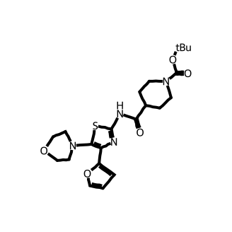 CC(C)(C)OC(=O)N1CCC(C(=O)Nc2nc(-c3ccco3)c(N3CCOCC3)s2)CC1